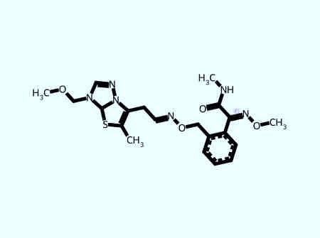 CNC(=O)/C(=N/OC)c1ccccc1CON=CCC1=C(C)SC2N(COC)C=NN12